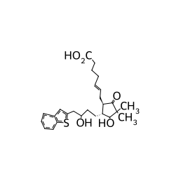 CC1(C)C(=O)[C@H](CC=CCCCC(=O)O)[C@@H](CCC(O)Cc2cc3ccccc3s2)[C@@H]1O